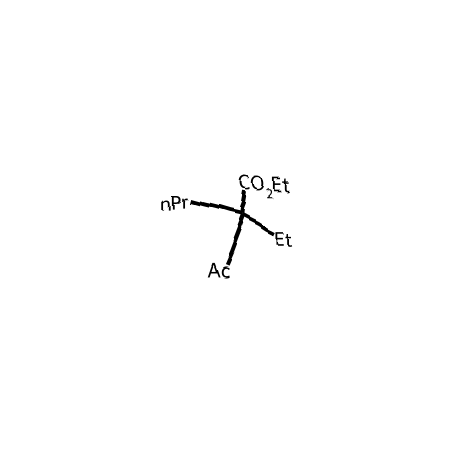 CCCC(CC)(C(C)=O)C(=O)OCC